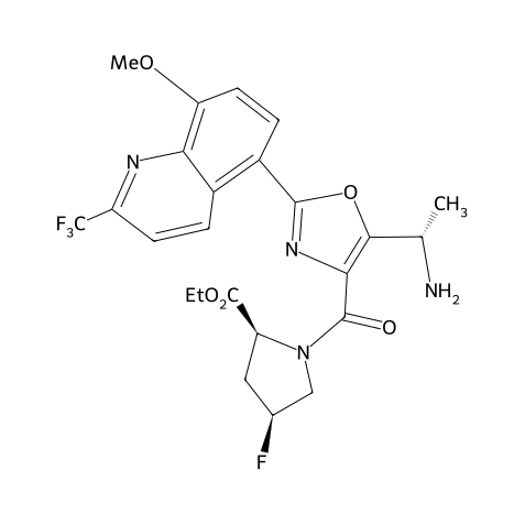 CCOC(=O)[C@@H]1C[C@H](F)CN1C(=O)c1nc(-c2ccc(OC)c3nc(C(F)(F)F)ccc23)oc1[C@H](C)N